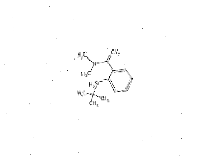 C=C(c1ccccc1[SiH2]C(C)(C)C)N(C)C